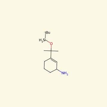 CC(C)(C)[SiH2]OC(C)(C)C1=CC(N)CCC1